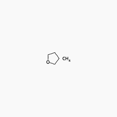 C.C1CCOC1